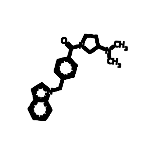 CN(C)C1CCN(C(=O)c2ccc(Cn3ccc4ccccc43)cc2)C1